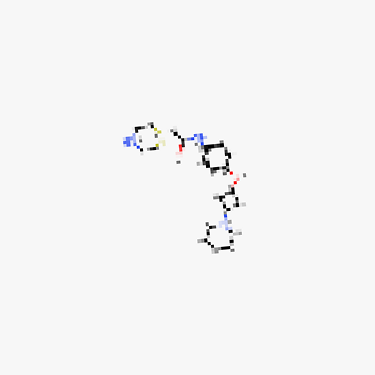 O=C(C[SH]1CCNCC1)Nc1ccc(OC2CC(N3CCCCC3)C2)cc1